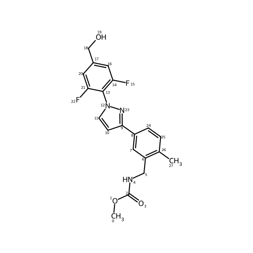 COC(=O)NCc1cc(-c2ccn(-c3c(F)cc(CO)cc3F)n2)ccc1C